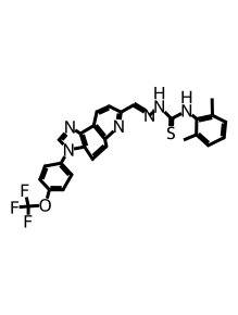 Cc1cccc(C)c1NC(=S)NN=Cc1ccc2c(ccc3c2ncn3-c2ccc(OC(F)(F)F)cc2)n1